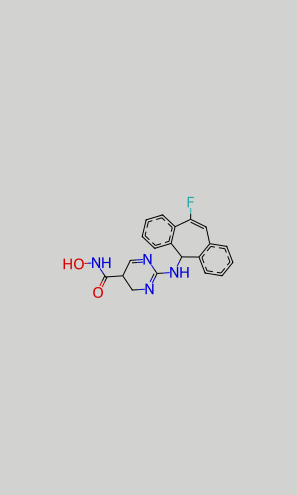 O=C(NO)C1C=NC(NC2c3ccccc3C=C(F)c3ccccc32)=NC1